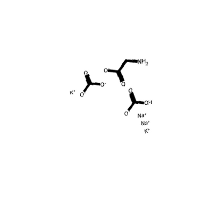 NCC(=O)[O-].O=C([O-])O.O=C([O-])[O-].[K+].[K+].[Na+].[Na+]